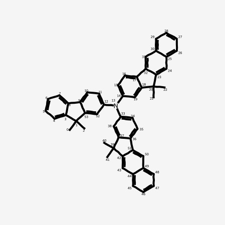 CC1(C)c2ccccc2-c2ccc(N(c3ccc4c(c3)C(C)(C)c3cc5ccccc5cc3-4)c3ccc4c(c3)C(C)(C)c3cc5ccccc5cc3-4)cc21